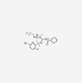 CN1C(NC(=O)c2ccccc2)=N[C@](C)(c2nc(Br)ccc2F)C[S@@]1(=O)=NCC(F)(F)F